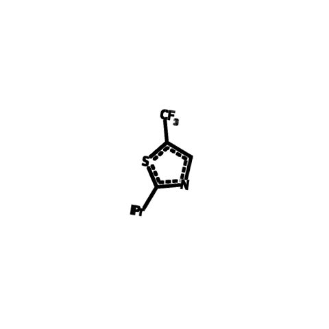 CC(C)c1ncc(C(F)(F)F)s1